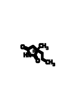 CCC[C@]1(C)CC(=O)NC1=O